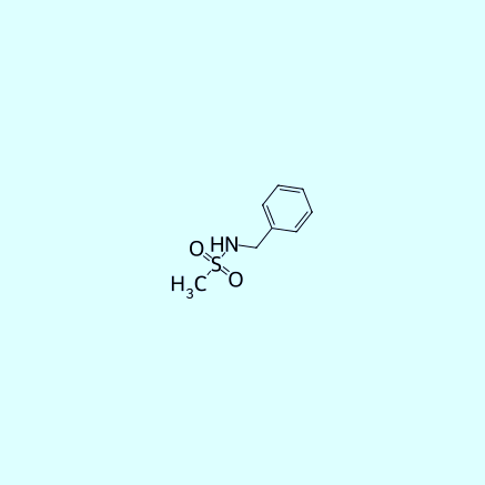 CS(=O)(=O)NCc1ccccc1